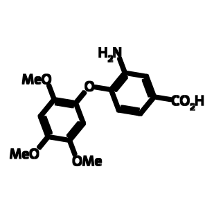 COc1cc(OC)c(Oc2ccc(C(=O)O)cc2N)cc1OC